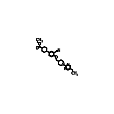 CCOC(=O)C1CC=C(c2ccc(OCC3CCN(c4ncc(CC)cn4)CC3)c(C#N)c2)CC1